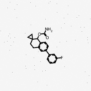 NC(=O)OC1c2ccc(-c3cccc(F)c3)cc2CCC12CC2